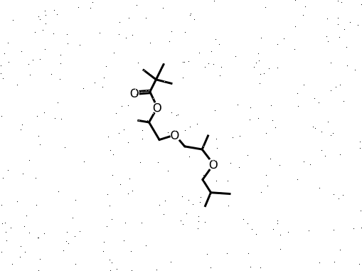 CC(C)COC(C)COCC(C)OC(=O)C(C)(C)C